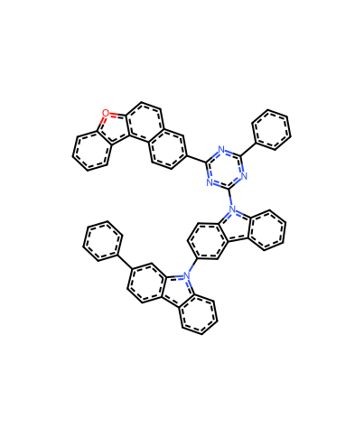 c1ccc(-c2ccc3c4ccccc4n(-c4ccc5c(c4)c4ccccc4n5-c4nc(-c5ccccc5)nc(-c5ccc6c(ccc7oc8ccccc8c76)c5)n4)c3c2)cc1